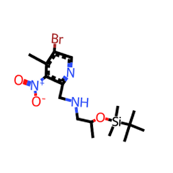 Cc1c(Br)cnc(CNCC(C)O[Si](C)(C)C(C)(C)C)c1[N+](=O)[O-]